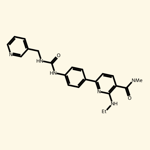 CCNc1nc(-c2ccc(NC(=O)NCc3cccnc3)cc2)ccc1C(=O)NC